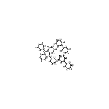 c1ccc(-c2c3ccccc3c(-c3cccc(-c4cc(-c5cccnc5)nc(-c5cccc(-c6ccncc6)c5)n4)c3)c3ccccc23)cc1